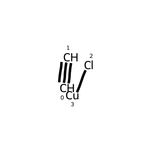 C#C.[Cl][Cu]